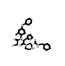 Cc1cc(Oc2ccccc2)ccc1N(C(=O)CCl)[C@H](C(=O)N1CCN[C@@H](C(=O)NCc2ccccc2)C1)c1cccs1